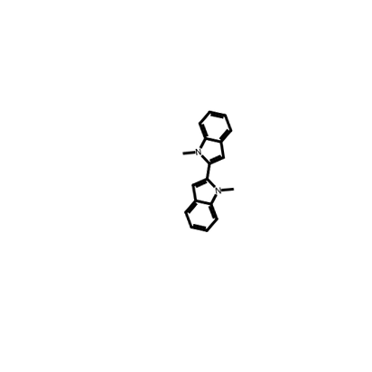 Cn1c(-c2cc3ccccc3n2C)cc2ccccc21